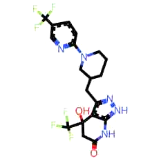 O=C1CC(O)(C(F)(F)F)c2c(CC3CCCN(c4ccc(C(F)(F)F)cn4)C3)n[nH]c2N1